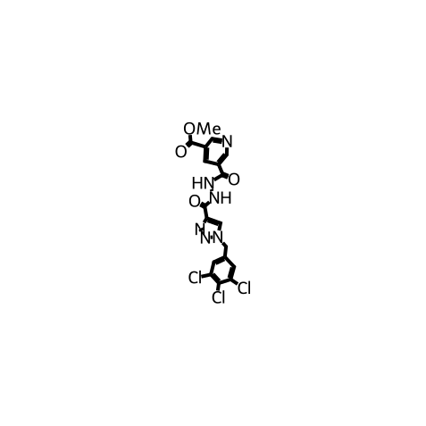 COC(=O)c1cncc(C(=O)NNC(=O)c2cn(Cc3cc(Cl)c(Cl)c(Cl)c3)nn2)c1